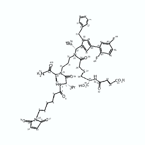 CC(C)[C@H](NC(=O)CCCCCN1C(=O)C=CC1=O)C(=O)N(CCCN(C(=O)CSC[C@H](NC(=O)CCC(=O)O)C(=O)O)[C@@H](c1cc(-c2cc(F)ccc2F)cn1Cc1ccccc1)C(C)(C)C)[C@@H](C)C(N)=O